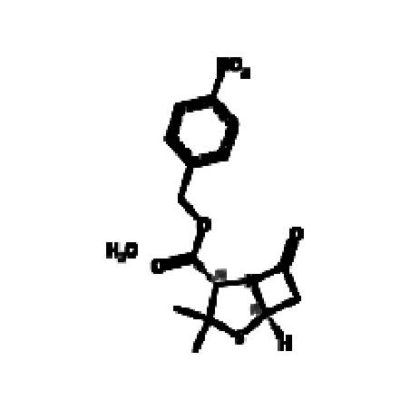 CC1(C)S[C@@H]2CC(=O)N2[C@H]1C(=O)OCc1ccc([N+](=O)[O-])cc1.O